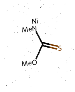 CNC(=S)OC.[Ni]